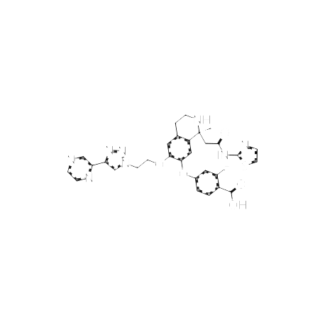 C[C@]1(CC(=O)Nc2nccs2)NCCc2cc(OCCn3cc(-c4cnccn4)nn3)c(Oc3ccc(C(=O)O)c(F)c3)cc21